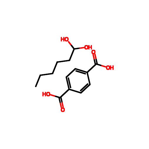 CCCCCC(O)O.O=C(O)c1ccc(C(=O)O)cc1